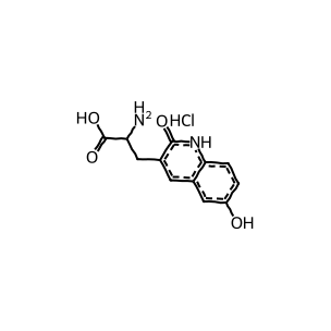 Cl.NC(Cc1cc2cc(O)ccc2[nH]c1=O)C(=O)O